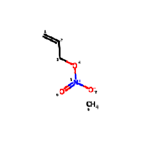 C.C=CCO[N+](=O)[O-]